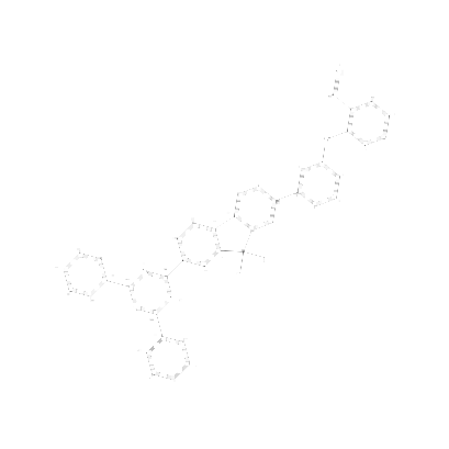 CC1(C)c2cc(-c3cccc(Nc4ccccc4C=N)c3)ccc2-c2ccc(-c3nc(-c4ccccc4)nc(-c4ccccc4)n3)cc21